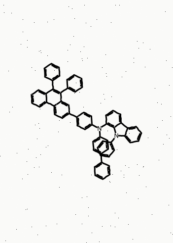 c1ccc(-c2ccc(N(c3ccc(-c4ccc5c(c4)c(-c4ccccc4)c(-c4ccccc4)c4ccccc45)cc3)c3cccc4c5ccccc5n(-c5ccccc5)c34)cc2)cc1